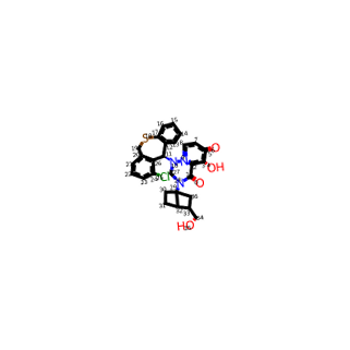 O=C1c2c(O)c(=O)ccn2N([C@@H]2c3ccccc3SCc3cccc(Cl)c32)CN1C12CCC1C(CO)C2